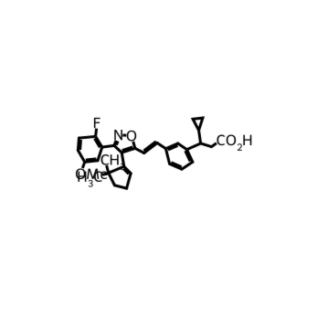 COc1ccc(F)c(-c2noc(/C=C/c3cccc(C(CC(=O)O)C4CC4)c3)c2C2=CCCC2(C)C)c1